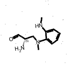 CNc1ccccc1N(C)C[C@H](N)C=O